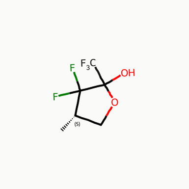 C[C@H]1COC(O)(C(F)(F)F)C1(F)F